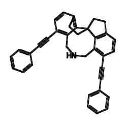 C(#Cc1ccc2c3c1CNCc1c(C#Cc4ccccc4)ccc4c1C3(CC2)CC4)c1ccccc1